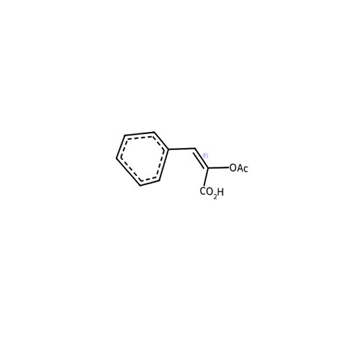 CC(=O)O/C(=C/c1ccccc1)C(=O)O